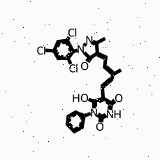 CC(C=Cc1c(O)n(-c2ccccc2)c(=O)[nH]c1=O)=C/C=C1\C(=O)N(c2c(Cl)cc(Cl)cc2Cl)N=C1C